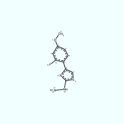 COc1ccc(-c2csc(NN)n2)c(F)c1